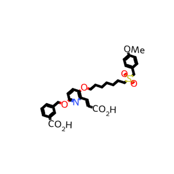 COc1ccc(CS(=O)(=O)CCCCCCCOc2ccc(OCc3cccc(C(=O)O)c3)nc2C=CC(=O)O)cc1